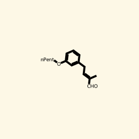 CCCCCOc1cccc(CC=C(C)C=O)c1